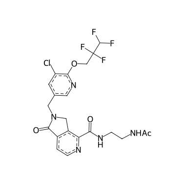 CC(=O)NCCNC(=O)c1nccc2c1CN(Cc1cnc(OCC(F)(F)C(F)F)c(Cl)c1)C2=O